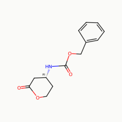 O=C1C[C@H](NC(=O)OCc2ccccc2)CCO1